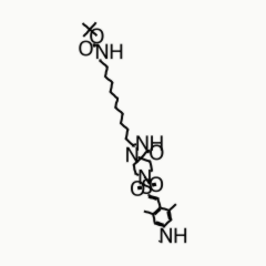 CNc1cc(C)c(/C=C/S(=O)(=O)N2CCC3(CC2)N=C(CCCCCCCCCCCNC(=O)OC(C)(C)C)NC3=O)c(C)c1